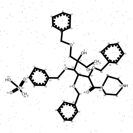 CC(O)C(O)(COCc1ccccc1)C(OCc1ccccc1)C(OCc1ccccc1)C(OCc1ccccc1)C(=O)N1CCNCC1.CS(=O)(=O)O